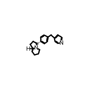 c1cc(Cc2ccc([C@H]3CC[C@H]4CCCCN43)cc2)ccn1